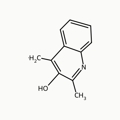 [CH2]c1c(O)c(C)nc2ccccc12